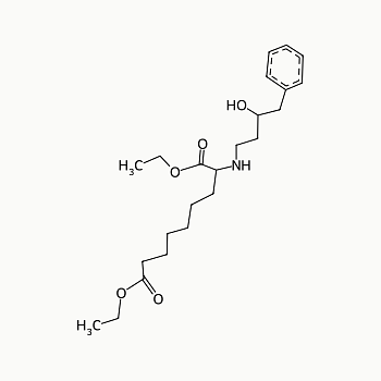 CCOC(=O)CCCCCCC(NCCC(O)Cc1ccccc1)C(=O)OCC